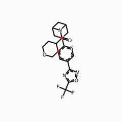 O=C(C1CCOCC1)N1C2CC1CN(c1ccc(-c3noc(C(F)(F)F)n3)cn1)C2